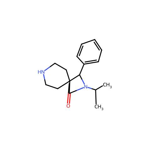 CC(C)N1C(=O)C2(CCNCC2)C1c1ccccc1